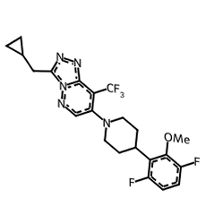 COc1c(F)ccc(F)c1C1CCN(c2cnn3c(CC4CC4)nnc3c2C(F)(F)F)CC1